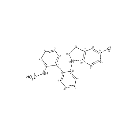 O=C(O)Nc1ccccc1-c1ccccc1N1CCc2cc(Cl)ccc21